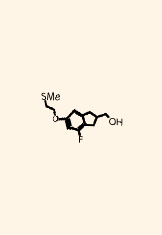 CSCCOc1cc(F)c2c(c1)CC(CO)C2